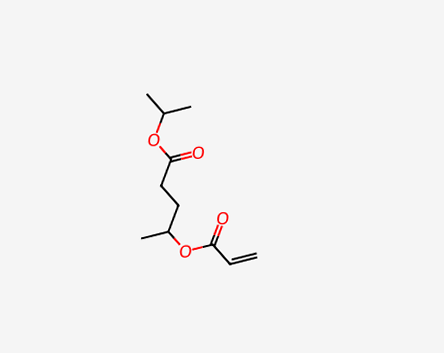 C=CC(=O)OC(C)CCC(=O)OC(C)C